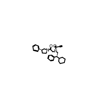 C#CC(=O)N(CC(=O)N1CC[C@@H](c2ccccc2)C1)C[C@H](c1ccccc1)C1CCCCC1